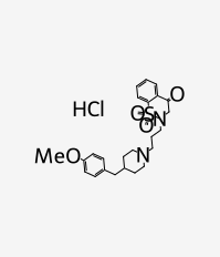 COc1ccc(CC2CCN(CCCN3CC(=O)c4ccccc4S3(=O)=O)CC2)cc1.Cl